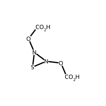 O=C(O)On1sn1OC(=O)O